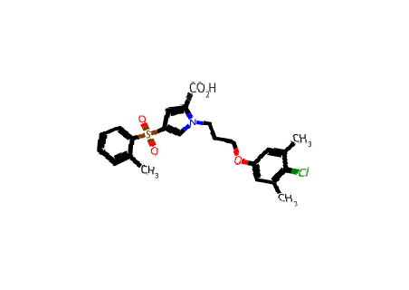 Cc1ccccc1S(=O)(=O)c1cc(C(=O)O)n(CCCOc2cc(C)c(Cl)c(C)c2)c1